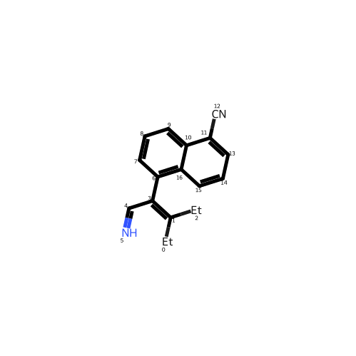 CCC(CC)=C(C=N)c1cccc2c(C#N)cccc12